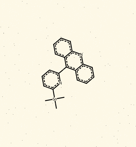 [CH3][Sn]([CH3])([CH3])[c]1cccc(-c2c3ccccc3nc3ccccc23)n1